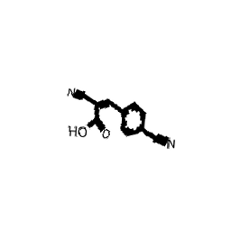 N#C/C(=C/c1ccc(C#N)cc1)C(=O)O